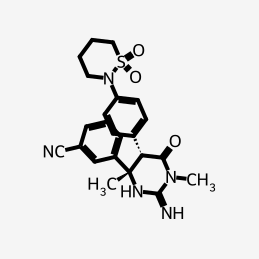 CN1C(=N)N[C@](C)(c2cccc(C#N)c2)[C@H](c2ccc(N3CCCCS3(=O)=O)cc2)C1=O